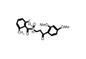 COc1ccc(C(=O)CC[PH](=O)C(=O)c2c(C)cccc2C)c(OC)c1